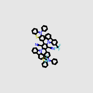 N#Cc1c(-c2ccc3c(c2)Sc2ccccc2N3c2ccccc2)c(-n2c3ccccc3c3ccc(C(F)(F)F)cc32)c(C#N)c(-c2ccc3c(c2)Sc2ccccc2N3c2ccccc2)c1-n1c2ccccc2c2ccc(C(F)(F)F)cc21